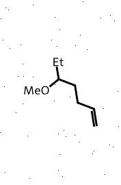 [CH2]CC(CCC=C)OC